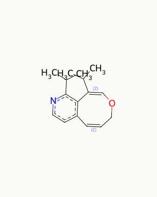 CC(C)/C1=C/OC/C=C\c2ccnc(C(C)C)c21